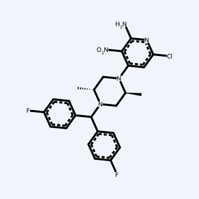 C[C@@H]1CN(c2cc(Cl)nc(N)c2[N+](=O)[O-])[C@@H](C)CN1C(c1ccc(F)cc1)c1ccc(F)cc1